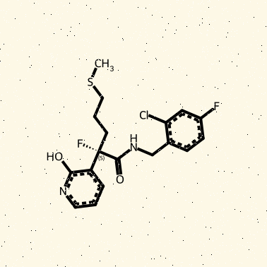 CSCCC[C@@](F)(C(=O)NCc1ccc(F)cc1Cl)c1cccnc1O